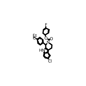 CCOc1ccc(C2c3[nH]c4ccc(Cl)cc4c3CCN2C(=O)OC2C=CC(F)=CC2)cc1